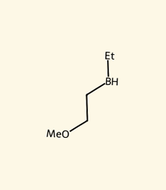 CCBCCOC